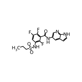 CCCS(=O)(=O)Nc1cc(F)c(F)c(C(=O)Nc2cnc3[nH]ccc3c2)c1F